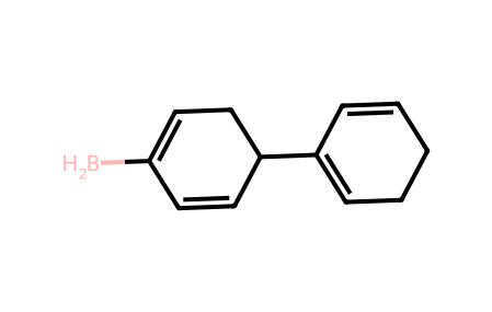 BC1=CCC(C2=CCCC=C2)C=C1